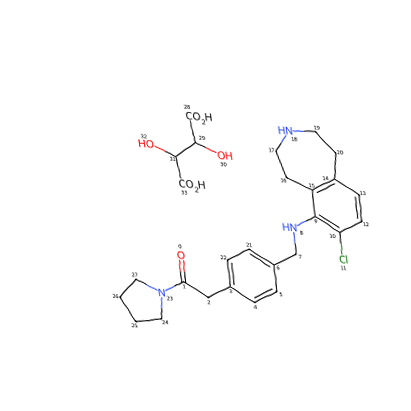 O=C(Cc1ccc(CNc2c(Cl)ccc3c2CCNCC3)cc1)N1CCCC1.O=C(O)C(O)C(O)C(=O)O